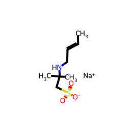 C/C=C/CNC(C)(C)CS(=O)(=O)[O-].[Na+]